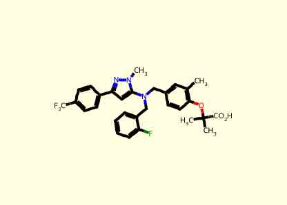 Cc1cc(CN(Cc2ccccc2F)c2cc(-c3ccc(C(F)(F)F)cc3)nn2C)ccc1OC(C)(C)C(=O)O